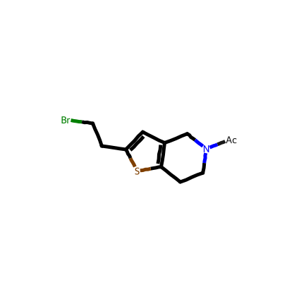 CC(=O)N1CCc2sc(CCBr)cc2C1